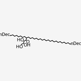 CCCCCCCCCCCCCCCCCCCCCCCCCCCCCCCCC(CCCCCCCCCCCCCCCCCC)C(=O)C(O)C(O)CO